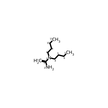 C=C(N)N(CCCC)CCCC